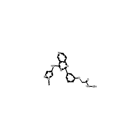 Cn1cc(Nc2nc(-c3cccc(OCC(=O)NC(C)(C)C)c3)nc3ccncc23)cn1